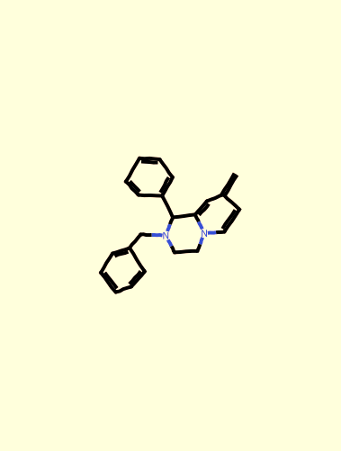 C=C1C=CN2CCN(Cc3ccccc3)C(c3ccccc3)C2=C1